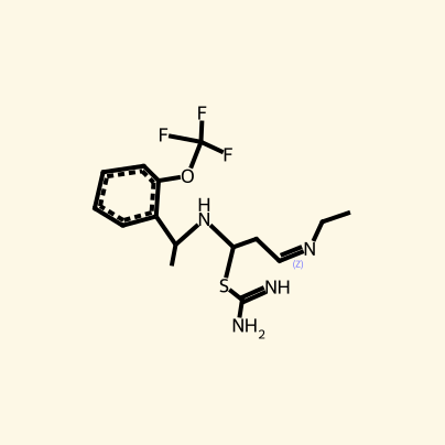 CC/N=C\CC(NC(C)c1ccccc1OC(F)(F)F)SC(=N)N